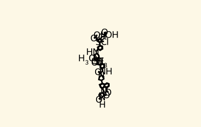 CC1(C)C[C@@H](Nc2cccc(-c3sc(C(=O)O)c(OCC(=O)O)c3Cl)c2)CCN1S(=O)(=O)Cc1cc(NC(=O)N2CCC(c3ccc4c5c(cccc35)C(=O)N4C3CCC(=O)NC3=O)CC2)ccc1F